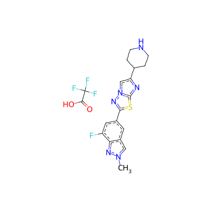 Cn1cc2cc(-c3nn4cc(C5CCNCC5)nc4s3)cc(F)c2n1.O=C(O)C(F)(F)F